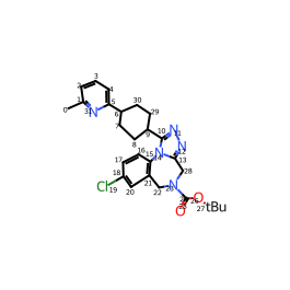 Cc1cccc(C2CCC(c3nnc4n3-c3ccc(Cl)cc3CN(C(=O)OC(C)(C)C)C4)CC2)n1